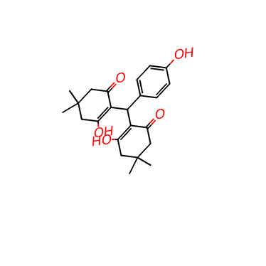 CC1(C)CC(=O)C(C(C2=C(O)CC(C)(C)CC2=O)c2ccc(O)cc2)=C(O)C1